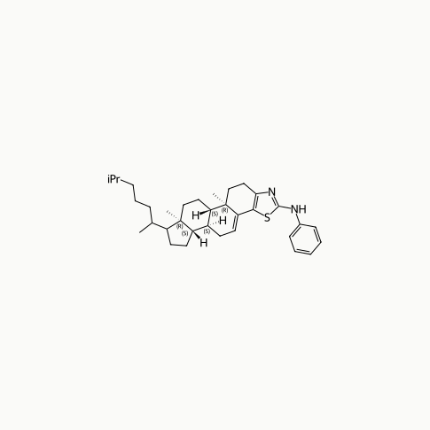 CC(C)CCCC(C)C1CC[C@H]2[C@@H]3CC=C4c5sc(Nc6ccccc6)nc5CC[C@]4(C)[C@H]3CC[C@]12C